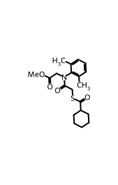 COC(=O)CN(C(=O)CSC(=O)C1CCCCC1)c1c(C)cccc1C